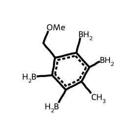 Bc1c(B)c(COC)c(B)c(B)c1C